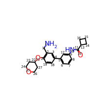 NCc1cc(-c2cccc(NC(=O)C3CCC3)c2)ccc1OC1CCOCC1